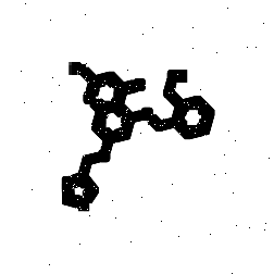 CC(C)c1cc(=O)c2c(OCc3ccccc3CO)cc(OCc3cncs3)cc2o1